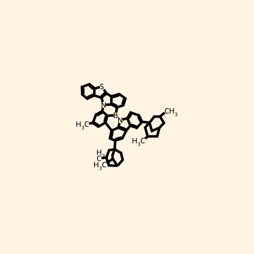 Cc1cc2c3c(c1)-n1c4c(cccc4c4sc5ccccc5c41)B3n1c3ccc(C45CC(C)CC(CC(C)C4)C5)cc3c3cc(C45CCC(CC(C)C4)C(C)C5)cc-2c31